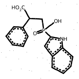 O=C(O)C(CP(=O)(O)c1cc2ccccc2[nH]1)c1ccccc1